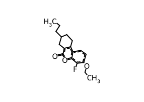 CCCC1CCc2c(c(=O)oc3c(F)c(OCC)ccc23)C1